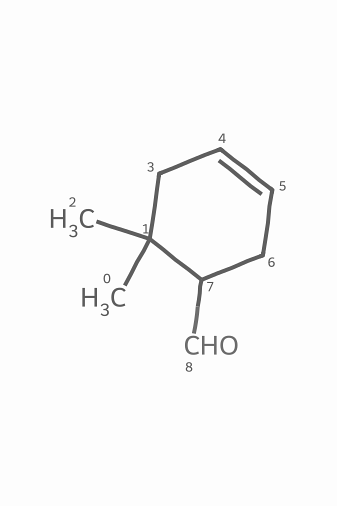 CC1(C)CC=CCC1C=O